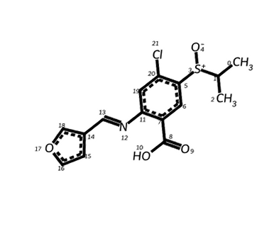 CC(C)[S+]([O-])c1cc(C(=O)O)c(N=Cc2ccoc2)cc1Cl